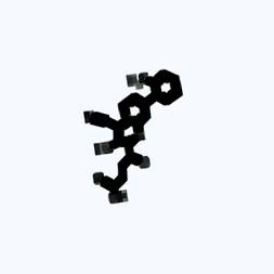 Cc1ccccc1-c1ccc2c(C#N)c(O)c(C(=O)CCC(=O)O)nc2c1